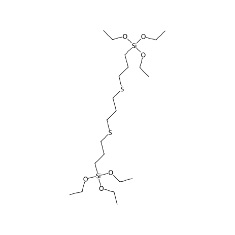 CCO[Si](CCCSCCCSCCC[Si](OCC)(OCC)OCC)(OCC)OCC